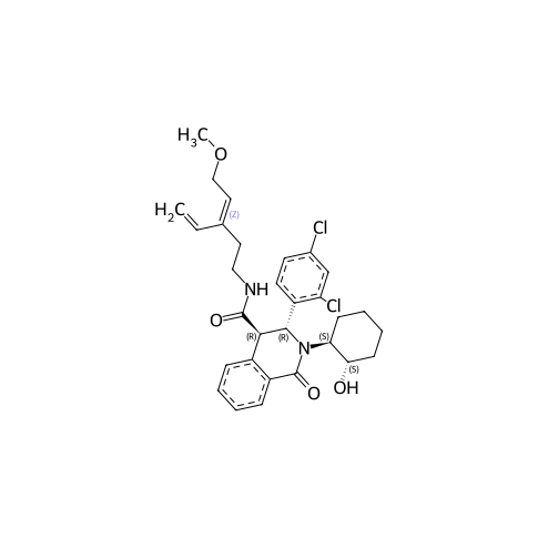 C=C/C(=C\COC)CCNC(=O)[C@@H]1c2ccccc2C(=O)N([C@H]2CCCC[C@@H]2O)[C@H]1c1ccc(Cl)cc1Cl